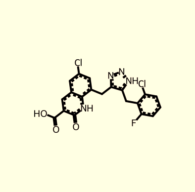 O=C(O)c1cc2cc(Cl)cc(Cc3nn[nH]c3Cc3c(F)cccc3Cl)c2[nH]c1=O